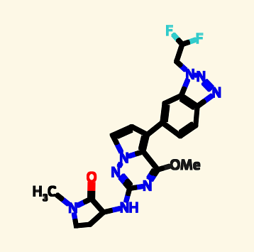 COc1nc(NC2CCN(C)C2=O)nn2ccc(-c3ccc4nnn(CC(F)F)c4c3)c12